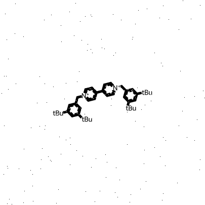 CC(C)(C)c1cc(C[n+]2ccc(-c3cc[n+](Cc4cc(C(C)(C)C)cc(C(C)(C)C)c4)cc3)cc2)cc(C(C)(C)C)c1